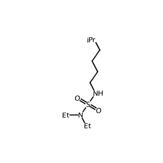 CCN(CC)S(=O)(=O)NCCCCC(C)C